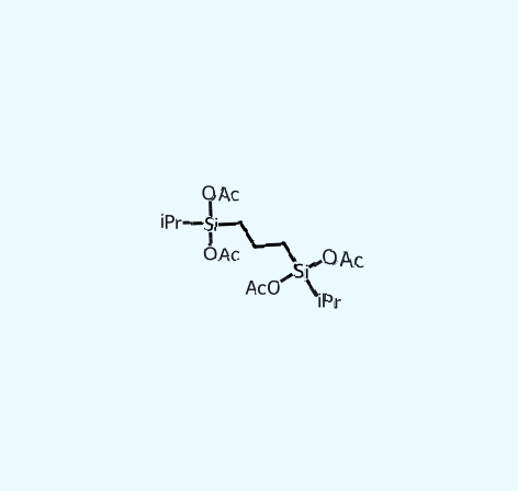 CC(=O)O[Si](CCC[Si](OC(C)=O)(OC(C)=O)C(C)C)(OC(C)=O)C(C)C